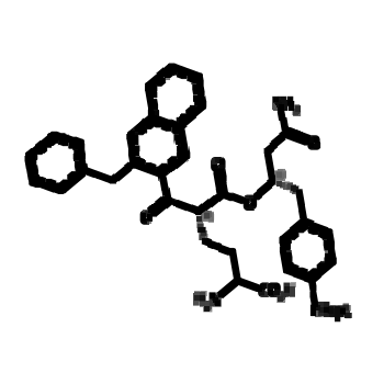 CCCCCCCc1ccc(C[C@@H](CC(N)=O)OC(=O)[C@H](CCC(N)C(=O)O)C(=O)c2cc3ccccc3cc2Cc2ccccc2)cc1